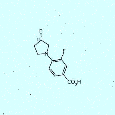 O=C(O)c1ccc(N2CC[C@H](F)C2)c(F)c1